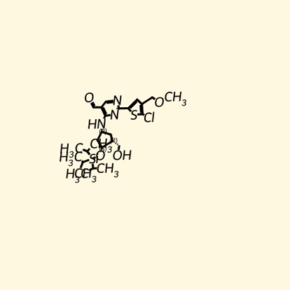 COCc1cc(-c2ncc(C=O)c(N[C@@H]3C[C@H](CO)[C@@H](O[Si](C(C)C)(C(C)C)C(C)C)C3)n2)sc1Cl